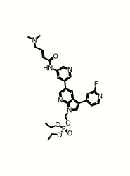 CCOP(=O)(OCC)OCn1cc(-c2ccnc(F)c2)c2cc(-c3cncc(NC(=O)/C=C/CN(C)C)c3)cnc21